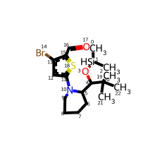 C[SiH](C)OC(C1CCCCN1c1cc(Br)c(C=O)s1)C(C)(C)C